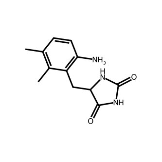 Cc1ccc(N)c(CC2NC(=O)NC2=O)c1C